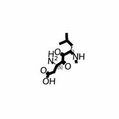 CN[C@@H](CC(C)C)C(=O)C(=O)[C@@H](N)CC(=O)O